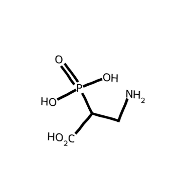 NCC(C(=O)O)P(=O)(O)O